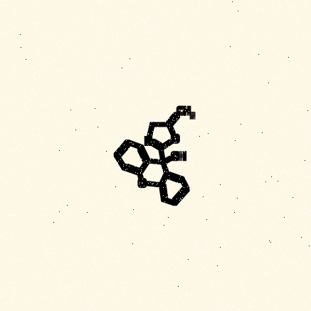 C=C1CN=C(C2(O)c3ccccc3Oc3ccccc32)O1